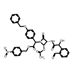 CC(=O)O[C@@H]1[C@@H](NC(=O)C(O)c2ccccc2C=O)C(=O)N1C(C(=O)OCc1ccc([N+](=O)[O-])cc1)c1ccc(OCc2ccccc2)cc1